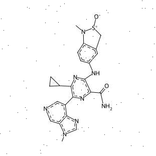 CN1c2ccc(Nc3nc(C4CC4)c(-c4cncc5c4ncn5C)nc3C(N)=O)cc2C[S+]1[O-]